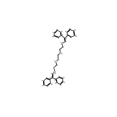 C(OCCOCCOCCOC=C(c1ccccc1)c1ccccc1)=C(c1ccccc1)c1ccccc1